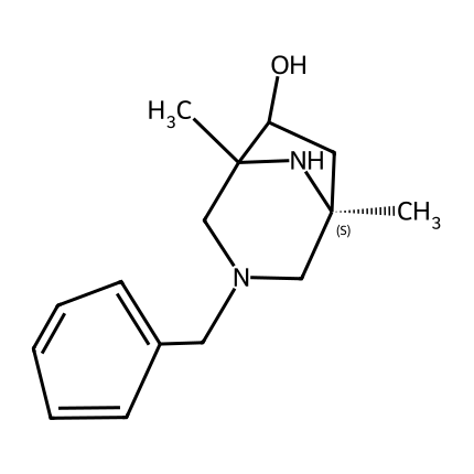 CC12CN(Cc3ccccc3)C[C@](C)(CC1O)N2